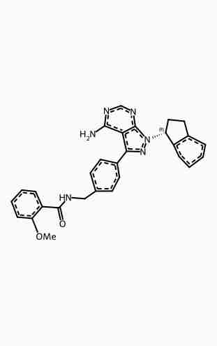 COc1ccccc1C(=O)NCc1ccc(-c2nn([C@@H]3CCc4ccccc43)c3ncnc(N)c23)cc1